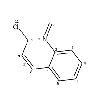 C=Nc1ccccc1/C=C\CCl